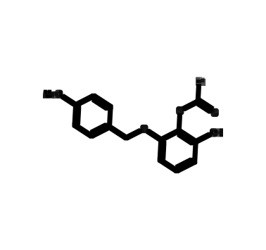 CCC(=O)Oc1c(O)cccc1OCc1ccc(OC)cc1